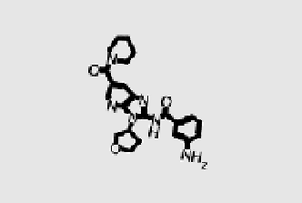 Nc1cccc(C(=O)Nc2nc3cc(C(=O)N4CCCCC4)cnc3n2C2CCOC2)c1